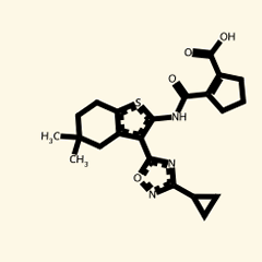 CC1(C)CCc2sc(NC(=O)C3=C(C(=O)O)CCC3)c(-c3nc(C4CC4)no3)c2C1